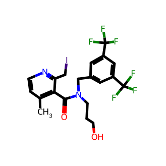 Cc1ccnc(CI)c1C(=O)N(CCCO)Cc1cc(C(F)(F)F)cc(C(F)(F)F)c1